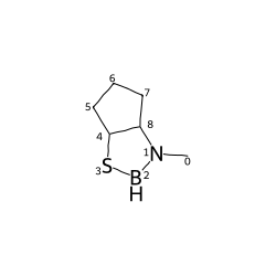 CN1BSC2CCCC21